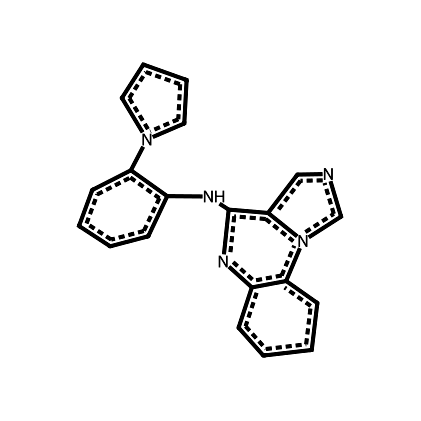 c1ccc(-n2cccc2)c(Nc2nc3ccccc3n3cncc23)c1